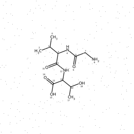 CC(C)C(NC(=O)CN)C(=O)NC(C(=O)O)C(C)O